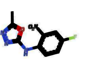 Cc1nnc(Nc2ccc(F)cc2[N+](=O)[O-])o1